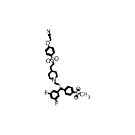 CS(=O)(=O)c1ccc([C@@H](CCN2CCC(CCS(=O)(=O)c3ccc(OCC#N)cc3)CC2)c2cc(F)cc(F)c2)cc1